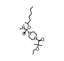 CCCCCC(C)OP(=O)(N(C)C)N1CCN(C(=O)C(C)(C)OCC)CC1